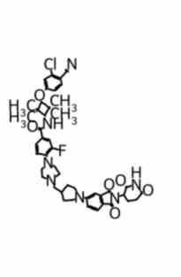 CC1(C)[C@H](NC(=O)c2ccc(N3CCN(CC4CCN(c5ccc6c(c5)C(=O)N(C5CCC(=O)NC5=O)C6=O)CC4)CC3)c(F)c2)C(C)(C)[C@H]1Oc1ccc(C#N)c(Cl)c1